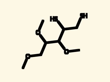 COCC(OC)C(OC)C(S)CS